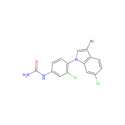 CC(=O)c1cn(-c2ccc(NC(N)=O)cc2Cl)c2cc(Cl)ccc12